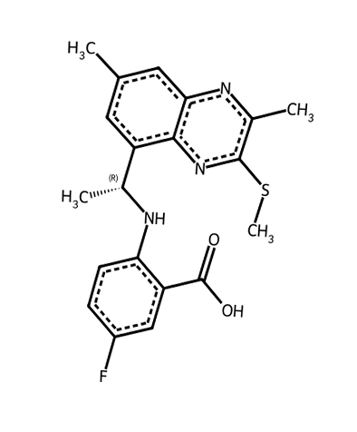 CSc1nc2c([C@@H](C)Nc3ccc(F)cc3C(=O)O)cc(C)cc2nc1C